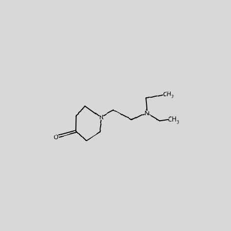 CCN(CC)CCN1CCC(=O)CC1